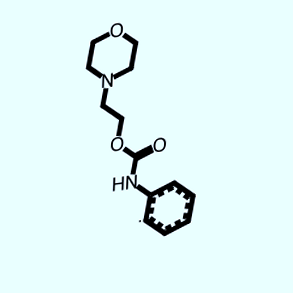 O=C(Nc1[c]cccc1)OCCN1CCOCC1